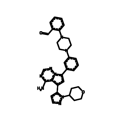 Nc1ncnn2c(-c3cccc(N4CCN(c5ccccc5C=O)CC4)c3)cc(-c3ccnn3C3CCOCC3)c12